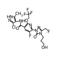 Cc1[nH]nc(Cl)c1NC(=O)c1cc(F)c(-n2nc(CF)n(CCCO)c2=O)nc1OCC(F)(F)F